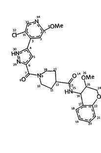 COc1cc(-c2cc(C(=O)N3CCC(C(=O)NC4c5ccccc5OCC4OC)CC3)n[nH]2)c(Cl)cn1